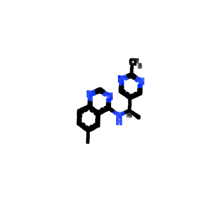 Cc1ccc2ncnc(N[C@H](C)c3cnc(C(F)(F)F)nc3)c2c1